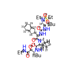 CCCCC(NC(=O)[C@@H]1[C@@H]2[C@H](CN1C(=O)[C@@H](NC(=O)N[C@H](CN(CC)S(=O)(=O)CC)C(C)(C)C)C1Cc3ccccc3C1)C2(C)C)C(=O)C(=O)NCC